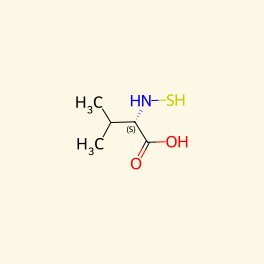 CC(C)[C@H](NS)C(=O)O